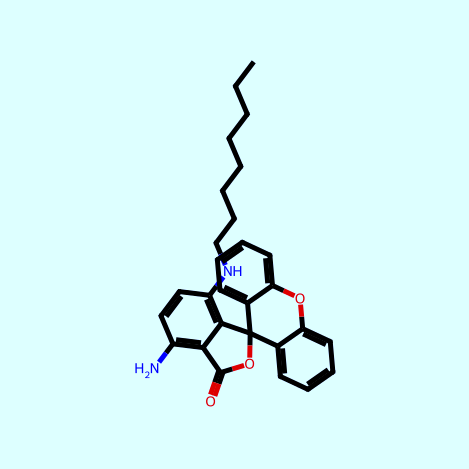 CCCCCCCCNc1ccc(N)c2c1C1(OC2=O)c2ccccc2Oc2ccccc21